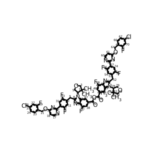 CC1(C)COCC1n1c(Cc2cc(F)c(-c3nccc(OCc4ccc(Cl)cc4F)n3)cc2F)nc2c(F)cc(C(=O)OC(=O)c3cc(F)c4nc(Cc5cc(F)c(-c6nccc(OCc7ccc(Cl)cc7F)n6)cc5F)n(C5COCC5(C)C)c4c3)cc21